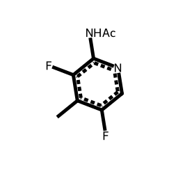 CC(=O)Nc1ncc(F)c(C)c1F